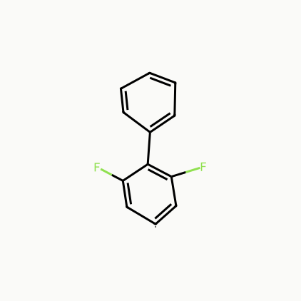 Fc1c[c]cc(F)c1-c1ccccc1